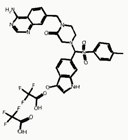 Cc1ccc(S(=O)(=O)C(c2ccc3c(Cl)c[nH]c3c2)N2CCN(Cc3ccc4c(N)ncnc4c3)C(=O)C2)cc1.O=C(O)C(F)(F)F.O=C(O)C(F)(F)F